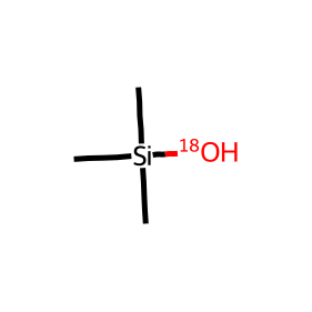 C[Si](C)(C)[18OH]